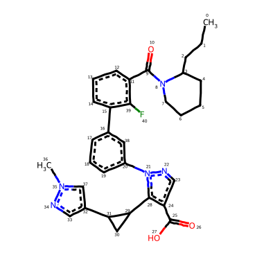 CCCC1CCCCN1C(=O)c1cccc(-c2cccc(-n3ncc(C(=O)O)c3C3CC3c3cnn(C)c3)c2)c1F